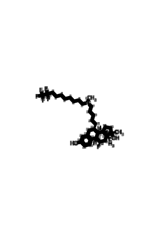 CN(CCCCCCCCC(F)(F)C(F)(F)F)CCCCC[C@@H]1Cc2cc(O)ccc2[C@@H]2[C@@H]1[C@@H]1CC[C@](C)(O)[C@@]1(C)C[C@@H]2F